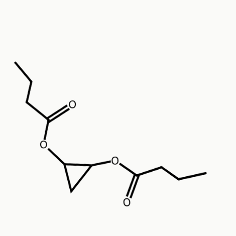 CCCC(=O)OC1CC1OC(=O)CCC